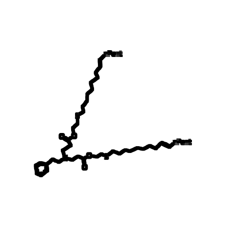 CCCCC/C=C/CCCCCCCCSCCOC(=O)CCN(CCC(=O)OCCSCCCCCCCC/C=C/CCCCC)CCc1ccccc1